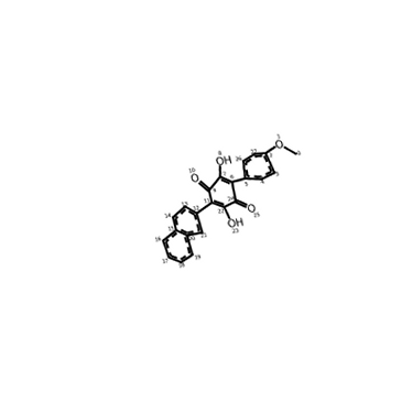 COc1ccc(C2=C(O)C(=O)C(c3ccc4ccccc4c3)=C(O)C2=O)cc1